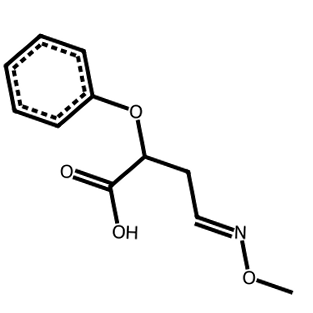 CON=CCC(Oc1ccccc1)C(=O)O